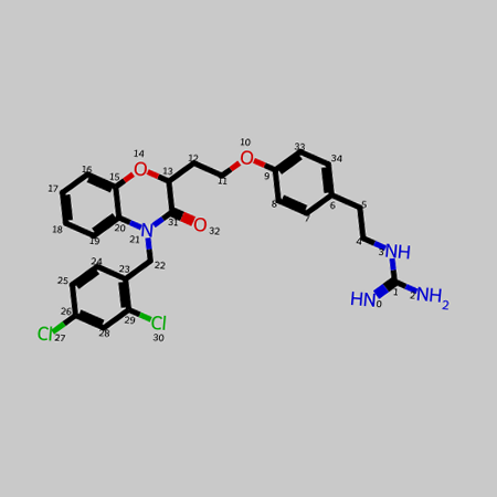 N=C(N)NCCc1ccc(OCCC2Oc3ccccc3N(Cc3ccc(Cl)cc3Cl)C2=O)cc1